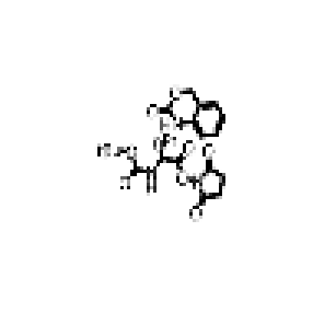 CCCC(NC(=O)OC(C)(C)C)C(=O)ON1C(=O)CCC1=O.O=C1Nc2ccccc2CO1